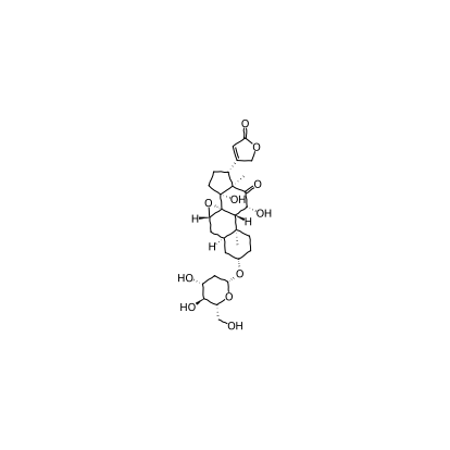 C[C@]12CC[C@H](O[C@H]3C[C@@H](O)[C@H](O)[C@@H](CO)O3)C[C@H]1C[C@@H]1O[C@]13[C@@H]2[C@@H](O)C(=O)[C@]1(C)[C@@H](C2=CC(=O)OC2)CC[C@]31O